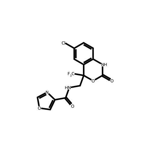 O=C1Nc2ccc(Cl)cc2C(CNC(=O)c2cocn2)(C(F)(F)F)O1